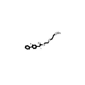 COCCOCCOC(=O)[C@H](C)c1ccc(-c2ccccc2)c(F)c1